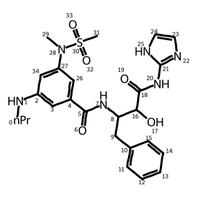 CCCNc1cc(C(=O)NC(Cc2ccccc2)C(O)C(=O)Nc2ncc[nH]2)cc(N(C)S(C)(=O)=O)c1